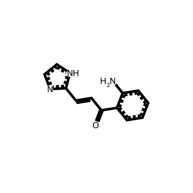 Nc1ccccc1C(=O)C=Cc1ncc[nH]1